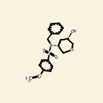 O=S(=O)(c1ccc(OC(F)(F)F)cc1)N(Cc1ccccc1)[C@H]1COC[C@H](O)C1